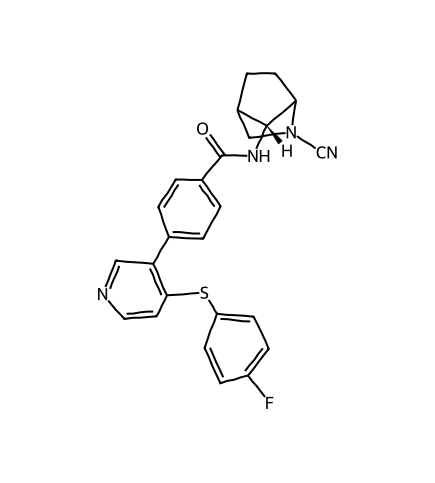 N#CN1CC2CCC1[C@@H]2NC(=O)c1ccc(-c2cnccc2Sc2ccc(F)cc2)cc1